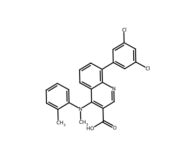 Cc1ccccc1N(C)c1c(C(=O)O)cnc2c(-c3cc(Cl)cc(Cl)c3)cccc12